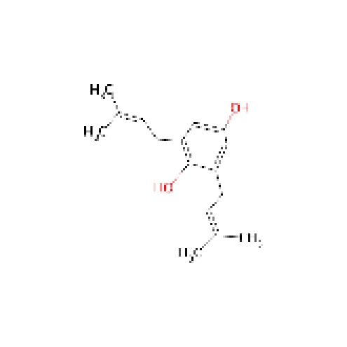 CC(C)=CCc1cc(O)cc(CC=C(C)C)c1O